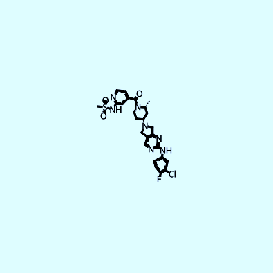 C[C@@H]1C[C@H](N2Cc3cnc(Nc4ccc(F)c(Cl)c4)nc3C2)CCN1C(=O)c1ccnc(NS(C)(=O)=O)c1